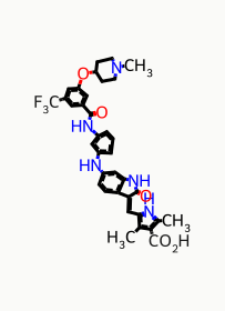 Cc1[nH]c(/C=C2\C(=O)Nc3cc(Nc4cccc(NC(=O)c5cc(OC6CCN(C)CC6)cc(C(F)(F)F)c5)c4)ccc32)c(C)c1C(=O)O